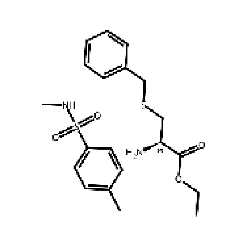 CCOC(=O)[C@@H](N)CSCc1ccccc1.CNS(=O)(=O)c1ccc(C)cc1